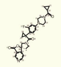 O=C1O[C@]2(CCN(C(=O)C3(c4ccc(N5CCN(C(=O)C6CC6)CC5)cc4F)CC3)C2)c2ccncc21